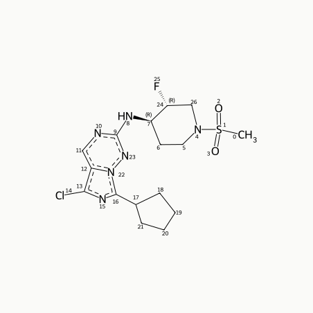 CS(=O)(=O)N1CC[C@@H](Nc2ncc3c(Cl)nc(C4CCCC4)n3n2)[C@H](F)C1